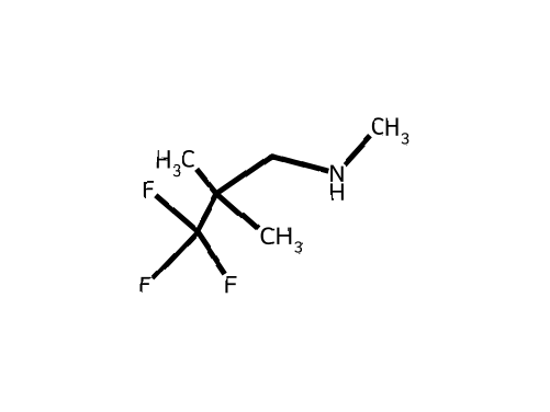 CNCC(C)(C)C(F)(F)F